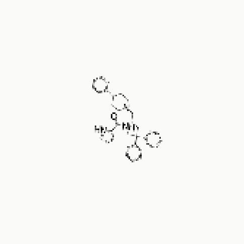 O=C(NCC(CCCN1CCC(c2ccccc2)CC1)(c1ccccc1)c1ccccc1)c1ccc[nH]1